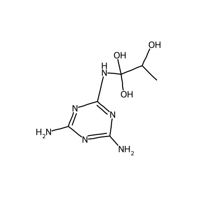 CC(O)C(O)(O)Nc1nc(N)nc(N)n1